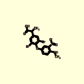 CNc1ccc(Oc2c(Br)cc(C(C)C(=O)O)cc2Br)cc1[N+](=O)[O-]